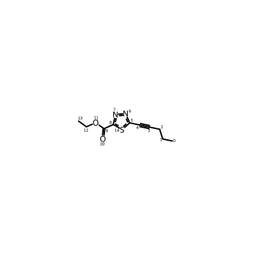 CCCC#Cc1nnc(C(=O)OCC)s1